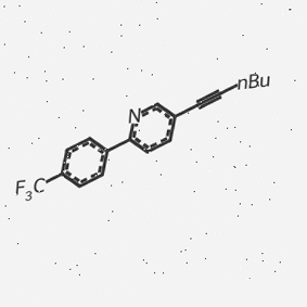 CCCCC#Cc1ccc(-c2ccc(C(F)(F)F)cc2)nc1